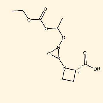 CCOC(=O)OC(C)On1on1N1CC[C@H]1C(=O)O